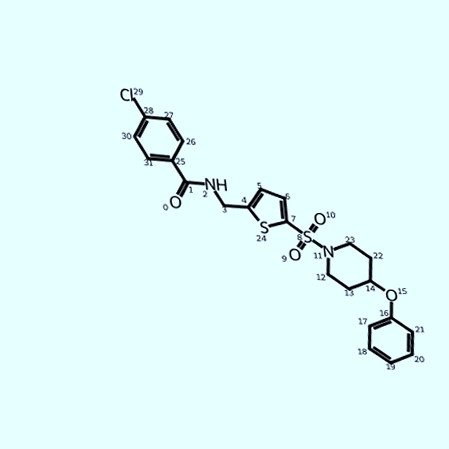 O=C(NCc1ccc(S(=O)(=O)N2CCC(Oc3ccccc3)CC2)s1)c1ccc(Cl)cc1